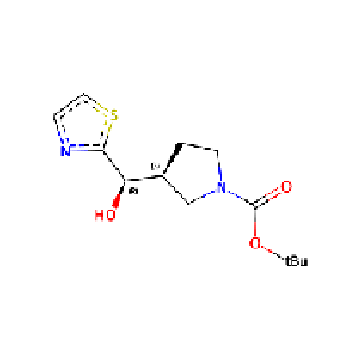 CC(C)(C)OC(=O)N1CC[C@H]([C@@H](O)c2nccs2)C1